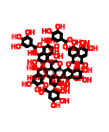 O=C(Oc1cc(C(=O)Oc2c(O)c(O)cc(C(=O)O)c2[C@@H]2[C@H](c3c(C(=O)O)cc(O)c(O)c3OC(=O)c3cc(O)c(O)c(OC(=O)c4cc(O)c(O)c(O)c4)c3)[C@@H](c3c(C(=O)O)cc(O)c(O)c3OC(=O)c3cc(O)c(O)c(OC(=O)c4cc(O)c(O)c(O)c4)c3)OC[C@H]2c2c(C(=O)O)cc(O)c(O)c2OC(=O)c2cc(O)c(O)c(OC(=O)c3cc(O)c(O)c(O)c3)c2)cc(O)c1O)c1cc(O)c(O)c(O)c1